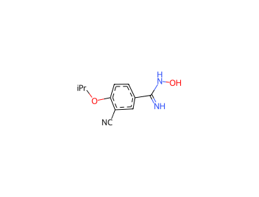 CC(C)Oc1ccc(C(=N)NO)cc1C#N